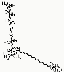 CNOCC(=O)NCCNC(=O)COCCOCCN[C@@H](O)CC[C@H](NC(=O)CCCCCCCCCCCCCCCCC(=O)OC(C)(C)C)C(=O)OC(C)(C)C